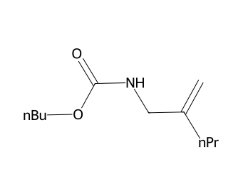 C=C(CCC)CNC(=O)OCCCC